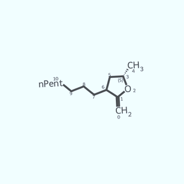 C=C1O[C@@H](C)CC1CCCCCCCC